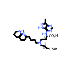 COC[C@@H](F)CN(CCCCc1ccc2c(n1)NCCC2)CC[C@H](Nc1ncnc2c(C)n[nH]c12)C(=O)O